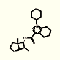 CC12CCC3C1C3(C)[C@H]2NC(=O)c1nn(C2CCCCC2)c2c1CCCC2